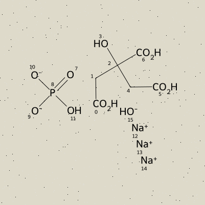 O=C(O)CC(O)(CC(=O)O)C(=O)O.O=P([O-])([O-])O.[Na+].[Na+].[Na+].[OH-]